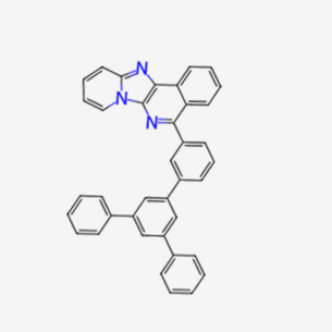 c1ccc(-c2cc(-c3ccccc3)cc(-c3cccc(-c4nc5c(nc6ccccn65)c5ccccc45)c3)c2)cc1